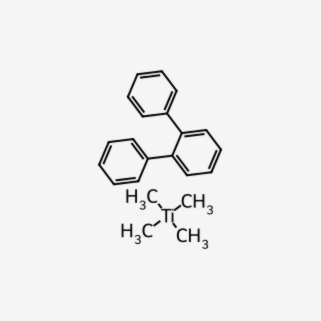 [CH3][Ti]([CH3])([CH3])[CH3].c1ccc(-c2ccccc2-c2ccccc2)cc1